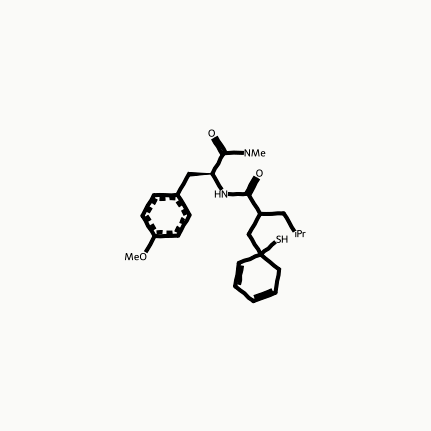 CNC(=O)[C@H](Cc1ccc(OC)cc1)NC(=O)C(CC(C)C)CC1(S)C=CC=CC1